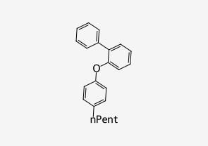 [CH2]CCCCc1ccc(Oc2ccccc2-c2ccccc2)cc1